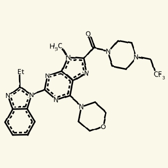 CCc1nc2ccccc2n1-c1nc(N2CCOCC2)c2nc(C(=O)N3CCN(CC(F)(F)F)CC3)n(C)c2n1